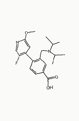 COc1cc(-c2ccc(C(=O)O)cc2CN(C(C)C)C(C)C)c(F)cn1